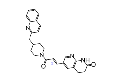 O=C1CCc2cc(/C=C/C(=O)N3CCC(Cc4ccc5ccccc5n4)CC3)cnc2N1